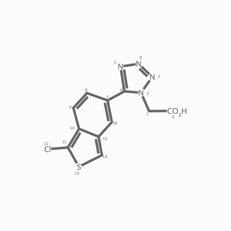 O=C(O)Cn1nnnc1-c1ccc2c(Cl)scc2c1